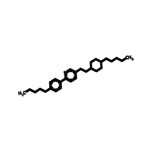 CCCCCc1ccc(-c2ccc(CCC3CCC(CCCCC)CC3)cn2)cc1